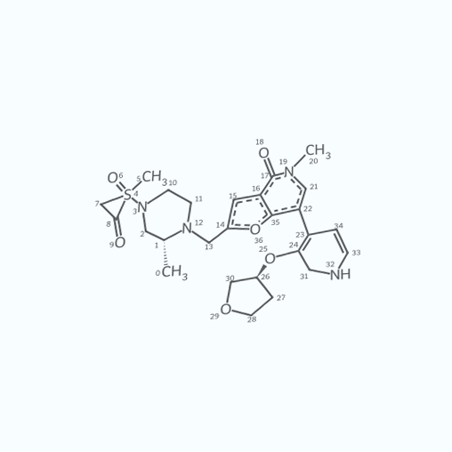 C[C@@H]1CN(S2(C)(=O)CC2=O)CCN1Cc1cc2c(=O)n(C)cc(C3=C(O[C@H]4CCOC4)CNC=C3)c2o1